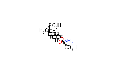 C[C@H](CCC(=O)O)C1CCC2[C@@H]3CC[C@@H]4C[C@@H](OC(=O)C(N)CCC(=O)O)CC[C@]4(C)C3CC[C@@]21C